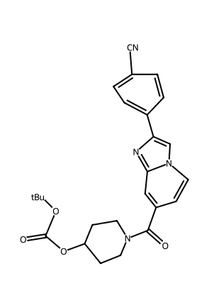 CC(C)(C)OC(=O)OC1CCN(C(=O)c2ccn3cc(-c4ccc(C#N)cc4)nc3c2)CC1